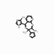 Cc1nc[nH]c1C1=NC(C)(c2cccs2)C(N)=Nc2ncccc21